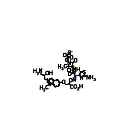 C[n+]1c2ccc(OCC(O/N=C(\C(=O)N[C@@H]3C(=O)N(OS(=O)(=O)[O-])C3(C)C)c3csc(N)n3)C(=O)O)cc2cn1CC(O)CN